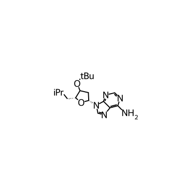 CC(C)C[C@H]1O[C@@H](n2cnc3c(N)ncnc32)CC1OC(C)(C)C